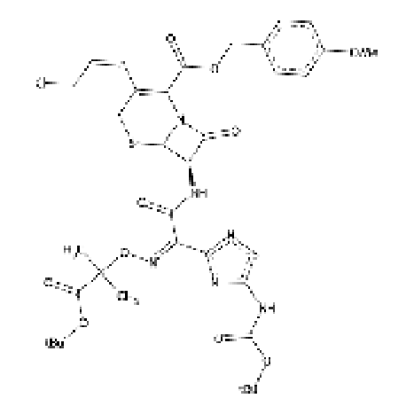 COc1ccc(COC(=O)C2=C(/C=C\CCl)CSC3[C@H](NC(=O)/C(=N\OC(C)(C)C(=O)OC(C)(C)C)c4nsc(NC(=O)OC(C)(C)C)n4)C(=O)N23)cc1